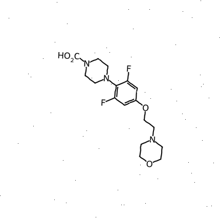 O=C(O)N1CCN(c2c(F)cc(OCCN3CCOCC3)cc2F)CC1